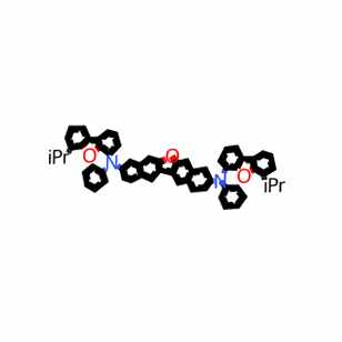 CC(C)c1cccc2c1oc1c(N(c3ccccc3)c3ccc4cc5c(cc4c3)oc3cc4cc(N(c6ccccc6)c6cccc7c6oc6c(C(C)C)cccc67)ccc4cc35)cccc12